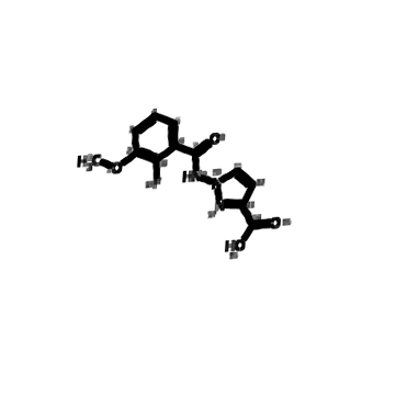 COc1cccc(C(=O)Nn2ccc(C(=O)O)n2)c1F